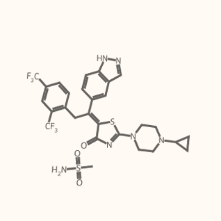 CS(N)(=O)=O.O=C1N=C(N2CCN(C3CC3)CC2)SC1=C(Cc1ccc(C(F)(F)F)cc1C(F)(F)F)c1ccc2[nH]ncc2c1